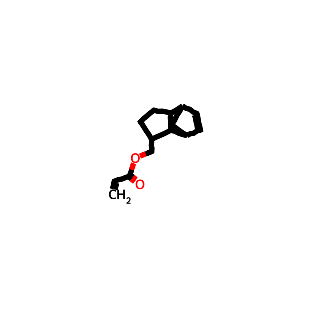 C=CC(=O)OCC1CCC2C3C=CC(C3)C12